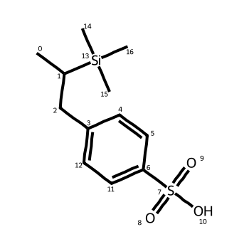 CC(Cc1ccc(S(=O)(=O)O)cc1)[Si](C)(C)C